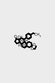 CCc1ccc(C2C[C@]3(C)C(=O)CC[C@H]3[C@@H]3CC=C4CC5(CC[C@@H]4[C@@H]23)OCCO5)cc1